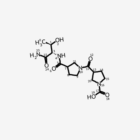 C[C@@H](O)[C@H](NC(=O)C1CCN(C(=O)C2CCN(C(=O)O)C2)C1)C(N)=O